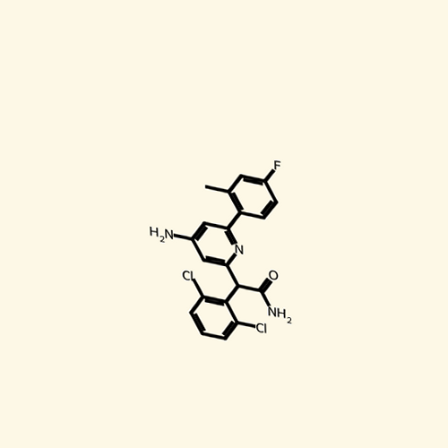 Cc1cc(F)ccc1-c1cc(N)cc(C(C(N)=O)c2c(Cl)cccc2Cl)n1